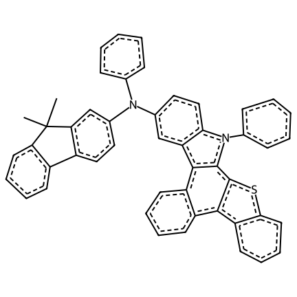 CC1(C)c2ccccc2-c2ccc(N(c3ccccc3)c3ccc4c(c3)c3c5ccccc5c5c6ccccc6sc5c3n4-c3ccccc3)cc21